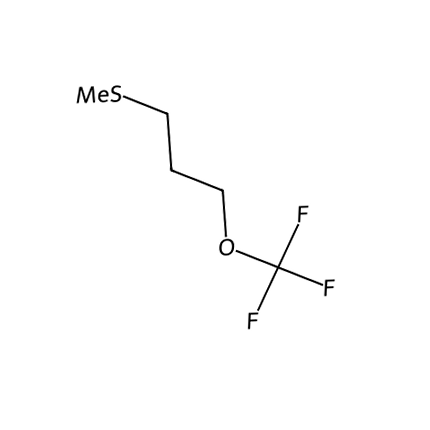 CSCCCOC(F)(F)F